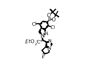 CCOC(=O)[C@@H](c1ncn2c1C[C@@H](F)C2)n1cc2c(Cl)cc(B3OC(C)(C)C(C)(C)O3)c(Cl)c2n1